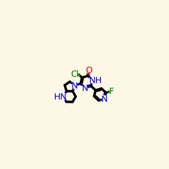 O=c1[nH]c(-c2ccnc(F)c2)nc(N2CCC3NCCCC32)c1Cl